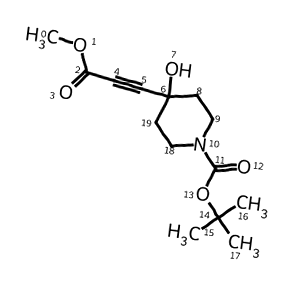 COC(=O)C#CC1(O)CCN(C(=O)OC(C)(C)C)CC1